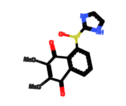 COC1=C(OC)C(=O)c2c(cccc2[S+]([O-])c2ncc[nH]2)C1=O